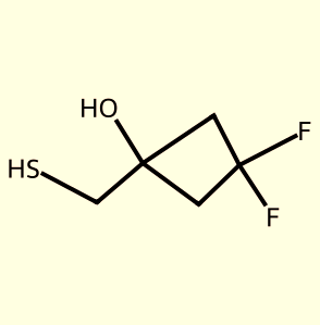 OC1(CS)CC(F)(F)C1